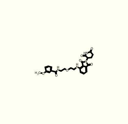 COc1cccc(C(=O)NCCOCCNc2cccc3c2C(=O)N(C2CCC(=O)NC2=O)C3=O)c1